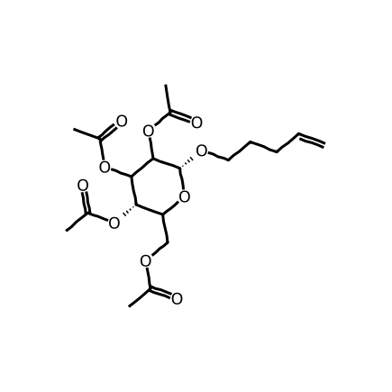 C=CCCCO[C@@H]1OC(COC(C)=O)[C@H](OC(C)=O)C(OC(C)=O)C1OC(C)=O